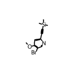 COc1cc(C#C[Si](C)(C)C)ncc1Br